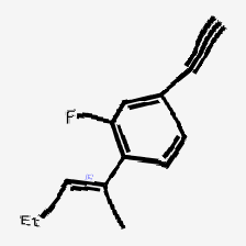 C#Cc1ccc(/C(C)=C/CC)c(F)c1